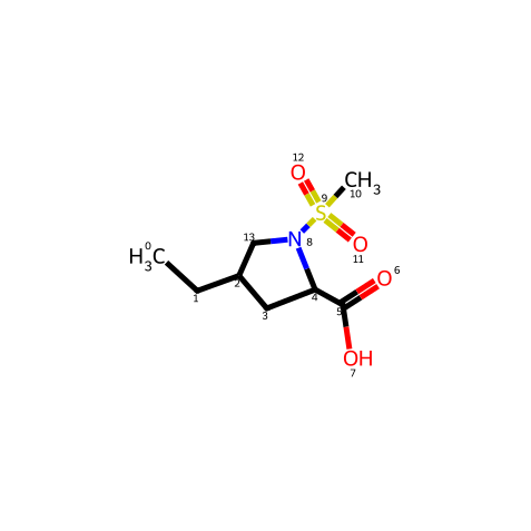 CCC1CC(C(=O)O)N(S(C)(=O)=O)C1